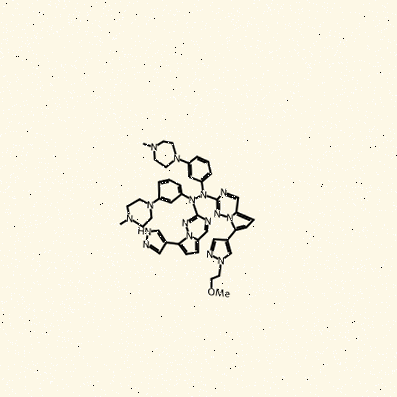 COCCn1cc(-c2ccc3cnc(N(c4cccc(N5CCN(C)CC5)c4)N(c4cccc(N5CCN(C)CC5)c4)c4ncc5ccc(-c6cn[nH]c6)n5n4)nn23)cn1